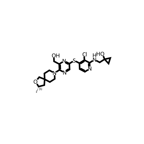 C[C@H]1CC2(CCN(c3ncc(Sc4ccnc(NCC5(O)CC5)c4Cl)nc3CO)CC2)CO1